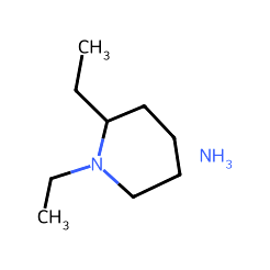 CCC1CCCCN1CC.N